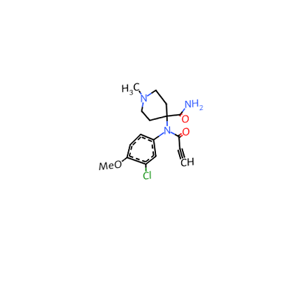 C#CC(=O)N(c1ccc(OC)c(Cl)c1)C1(C(N)=O)CCN(C)CC1